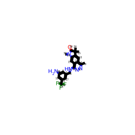 Cc1nnc(NCc2cc(N)cc(C(F)(F)F)c2)c2cc3c(cc12)C(C)(C)C(=O)N3C